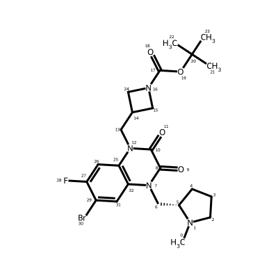 CN1CCC[C@H]1Cn1c(=O)c(=O)n(CC2CN(C(=O)OC(C)(C)C)C2)c2cc(F)c(Br)cc21